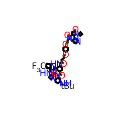 CC(C)(C)N[C@@H]1CC[C@H](N2CC[C@H](Nc3ncnc4ccc(C(F)(F)F)cc34)C2=O)[C@H](NC(=O)[C@H]2CC[C@H](NC(=O)CCCO[C@H]3CC[C@H](OCCNC(=O)[C@H]4CC(=O)N(C5CCC5)[C@@H]4c4cccnc4)CC3)CC2)C1